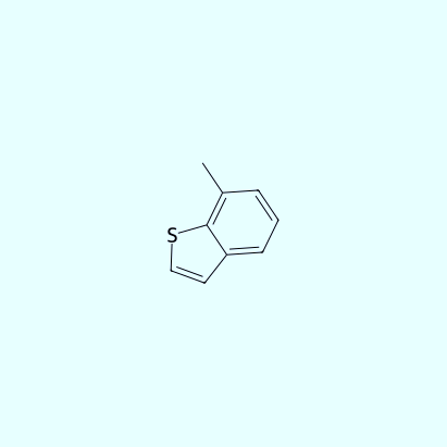 Cc1cccc2ccsc12